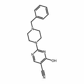 N#Cc1cnc(N2CCN(Cc3ccccc3)CC2)nc1O